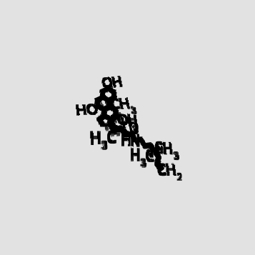 C=CC[N+](C)(C)CCCNC(=O)CC[C@@H](C)[C@H]1CCC2C3C(C[C@H](O)[C@@]21C)[C@@]1(C)CC[C@@H](O)CC1C[C@H]3O